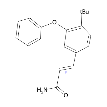 CC(C)(C)c1ccc(/C=C/C(N)=O)cc1Oc1ccccc1